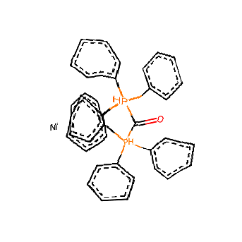 O=C([PH](c1ccccc1)(c1ccccc1)c1ccccc1)[PH](c1ccccc1)(c1ccccc1)c1ccccc1.[Ni]